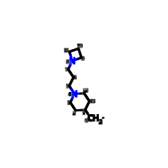 [CH2]C1CCN(CCCN2CCC2)CC1